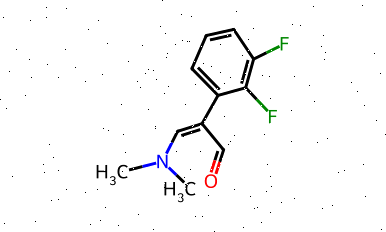 CN(C)/C=C(\C=O)c1cccc(F)c1F